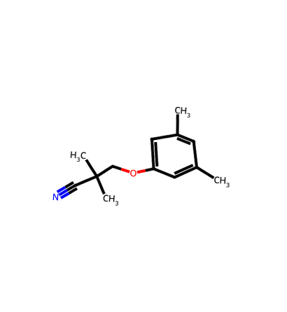 Cc1cc(C)cc(OCC(C)(C)C#N)c1